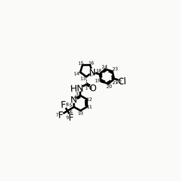 O=C(NC1=NC(C(F)(F)F)CC=C1)[C@@H]1CCCN1c1ccc(Cl)cc1